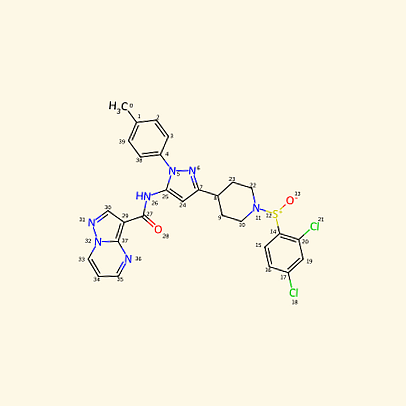 Cc1ccc(-n2nc(C3CCN([S+]([O-])c4ccc(Cl)cc4Cl)CC3)cc2NC(=O)c2cnn3cccnc23)cc1